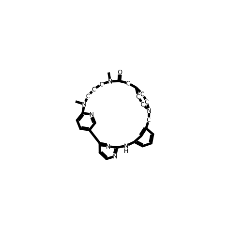 CN1CCCN(C)c2ccc(cn2)-c2ccnc(n2)Nc2cccc(c2)CN2CCC(CC2)CC1=O